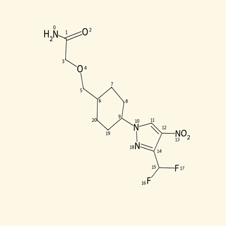 NC(=O)COCC1CCC(n2cc([N+](=O)[O-])c(C(F)F)n2)CC1